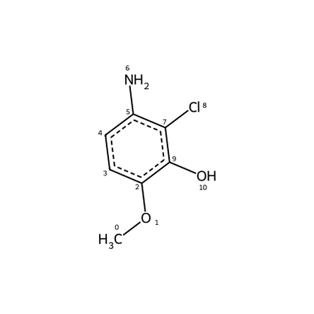 COc1ccc(N)c(Cl)c1O